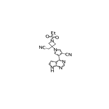 CCS(=O)(=O)N1CC(CC#N)(n2cc(C#N)c(-c3ncnc4[nH]ccc34)c2)C1